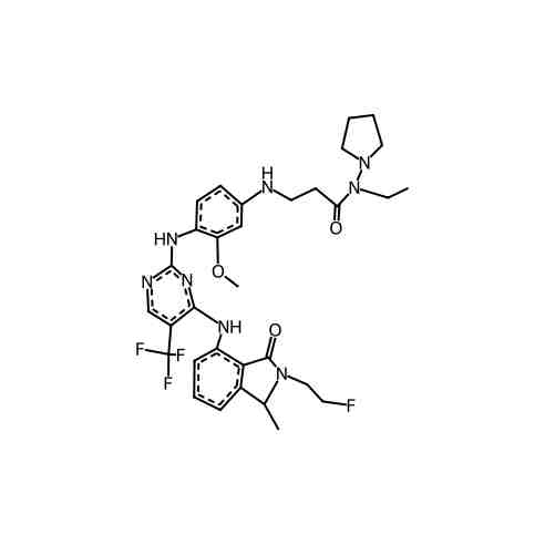 CCN(C(=O)CCNc1ccc(Nc2ncc(C(F)(F)F)c(Nc3cccc4c3C(=O)N(CCF)C4C)n2)c(OC)c1)N1CCCC1